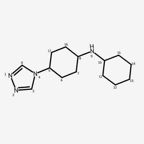 c1nncn1C1CCC(NC2CCCCC2)CC1